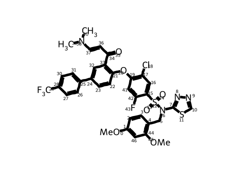 COc1ccc(CN(c2nncs2)S(=O)(=O)c2cc(Cl)c(Oc3ccc(-c4ccc(C(F)(F)F)cc4)cc3C(=O)/C=C/N(C)C)cc2F)c(OC)c1